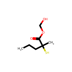 CCCC(C)(S)C(=O)OCO